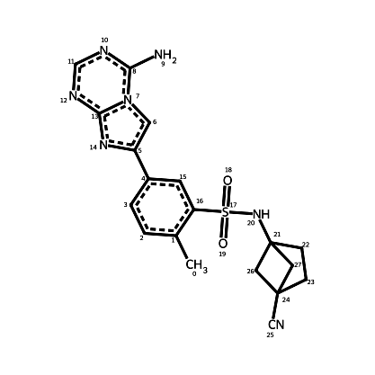 Cc1ccc(-c2cn3c(N)ncnc3n2)cc1S(=O)(=O)NC12CCC(C#N)(C1)C2